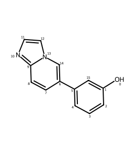 Oc1cccc(-c2ccc3nccn3c2)c1